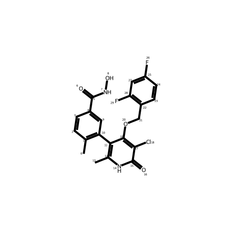 Cc1ccc(C(=O)NO)cc1-c1c(C)[nH]c(=O)c(Cl)c1OCc1ccc(F)cc1F